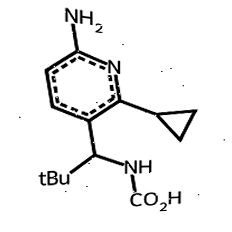 CC(C)(C)C(NC(=O)O)c1ccc(N)nc1C1CC1